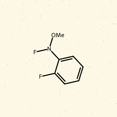 CON(F)c1ccccc1F